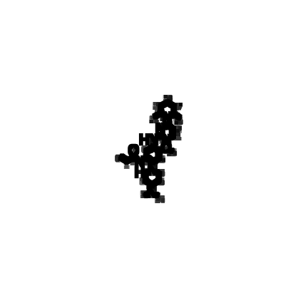 C=CC(=O)Nc1cc(Nc2nccc(N3C(C)CCCC3C)n2)c(OC)cc1N1CCC(N(C)C)CC1